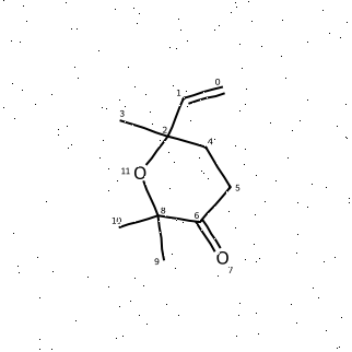 C=CC1(C)CCC(=O)C(C)(C)O1